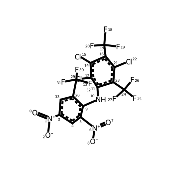 O=[N+]([O-])c1cc([N+](=O)[O-])c(Nc2c(Cl)c(Cl)c(C(F)(F)F)c(Cl)c2C(F)(F)F)c(C(F)(F)F)c1